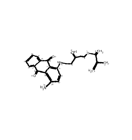 C=C(C)C(=C)OCC(O)CNc1ccc(N)c2c1C(=O)c1ccccc1C2=O